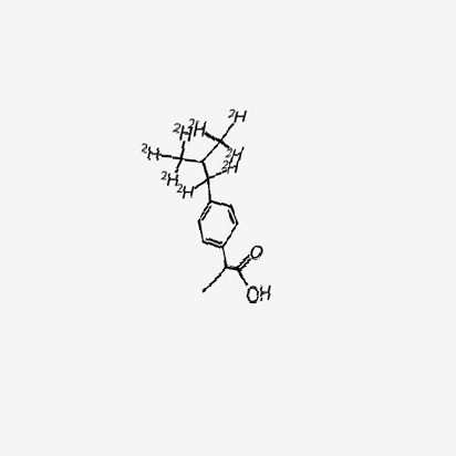 [2H]C([2H])([2H])C(C([2H])([2H])[2H])C([2H])([2H])c1ccc(C(C)C(=O)O)cc1